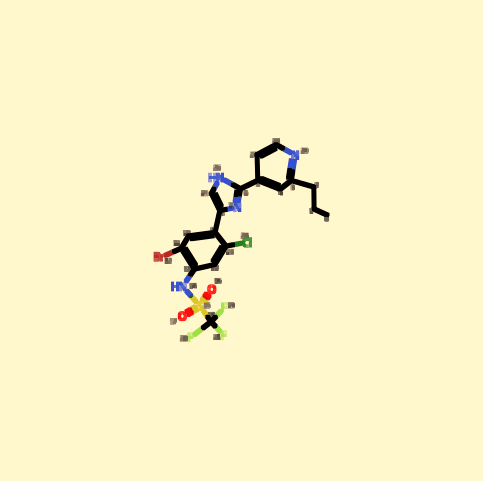 CCCc1cc(-c2nc(-c3cc(Br)c(NS(=O)(=O)C(F)(F)F)cc3Cl)c[nH]2)ccn1